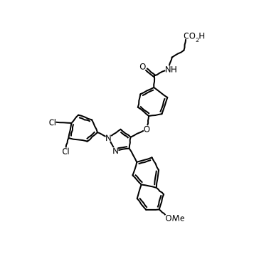 COc1ccc2cc(-c3nn(-c4ccc(Cl)c(Cl)c4)cc3Oc3ccc(C(=O)NCCC(=O)O)cc3)ccc2c1